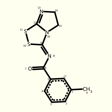 Cc1cccc(C(=O)N=C2SSC3=NCCN32)c1